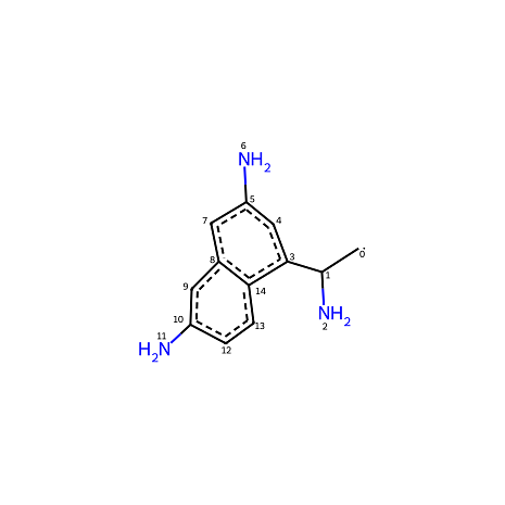 [CH2]C(N)c1cc(N)cc2cc(N)ccc12